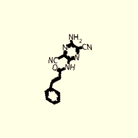 N#Cc1nc(NC(=O)C=Cc2ccccc2)c(C#N)nc1N